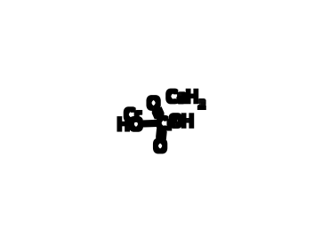 [CaH2].[Cr].[O]=[Cr](=[O])([OH])[OH]